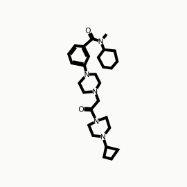 CN(C(=O)c1cccc(N2CCN(CC(=O)N3CCN(C4CCC4)CC3)CC2)c1)C1CCCCC1